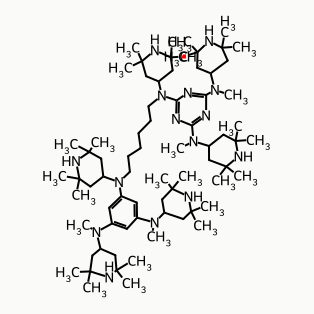 CN(c1cc(N(C)C2CC(C)(C)NC(C)(C)C2)cc(N(CCCCCCN(c2nc(N(C)C3CC(C)(C)NC(C)(C)C3)nc(N(C)C3CC(C)(C)NC(C)(C)C3)n2)C2CC(C)(C)NC(C)(C)C2)C2CC(C)(C)NC(C)(C)C2)c1)C1CC(C)(C)NC(C)(C)C1